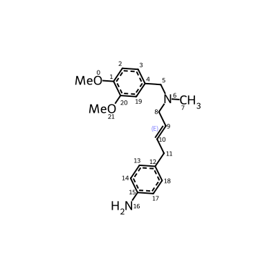 COc1ccc(CN(C)C/C=C/Cc2ccc(N)cc2)cc1OC